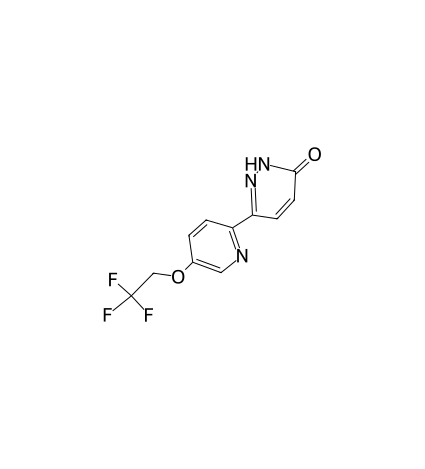 O=c1ccc(-c2ccc(OCC(F)(F)F)cn2)n[nH]1